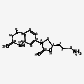 NCCC[C@@H]1CN(c2ccc3c(c2)NC(=O)CS3)C(=O)O1